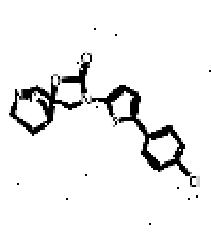 O=C1OC2(CN3CCC2CC3)CN1c1ccc(-c2ccc(Cl)cc2)s1